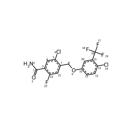 NC(=O)c1cc(Cl)c(COc2ccc(Cl)c(C(F)(F)F)c2)cc1F